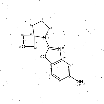 Nc1ccc2oc(N3CCCC34COC4)nc2c1